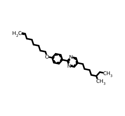 C=CCCCCCCOc1ccc(-c2ncc(CCCCC(C)CC)cn2)cc1